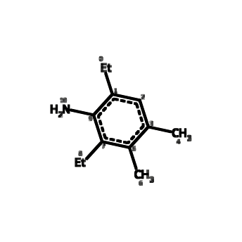 CCc1cc(C)c(C)c(CC)c1N